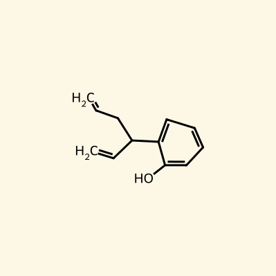 C=CCC(C=C)c1ccccc1O